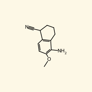 COc1ccc2c(c1N)CCCC2C#N